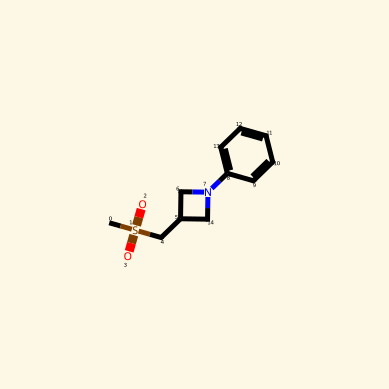 CS(=O)(=O)CC1CN(c2[c]cccc2)C1